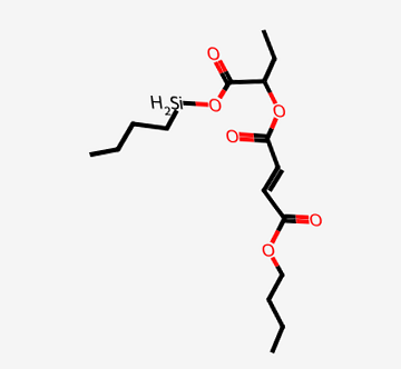 CCCCOC(=O)/C=C/C(=O)OC(CC)C(=O)O[SiH2]CCCC